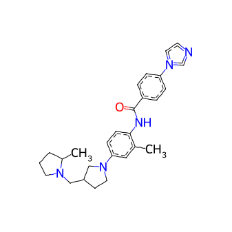 Cc1cc(N2CCC(CN3CCCC3C)C2)ccc1NC(=O)c1ccc(-n2ccnc2)cc1